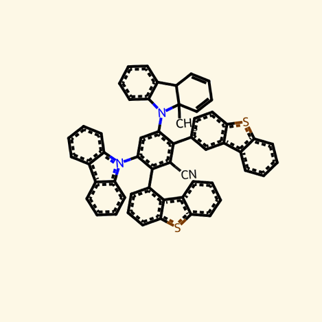 CC12C=CC=CC1c1ccccc1N2c1cc(-n2c3ccccc3c3ccccc32)c(-c2cccc3sc4ccccc4c23)c(C#N)c1-c1ccc2sc3ccccc3c2c1